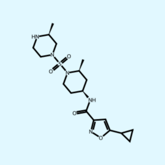 C[C@H]1CN(S(=O)(=O)N2CC[C@H](NC(=O)c3cc(C4CC4)on3)C[C@@H]2C)CCN1